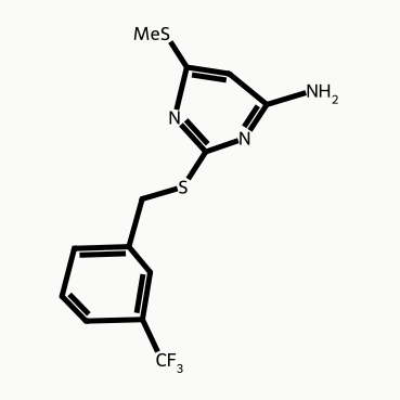 CSc1cc(N)nc(SCc2cccc(C(F)(F)F)c2)n1